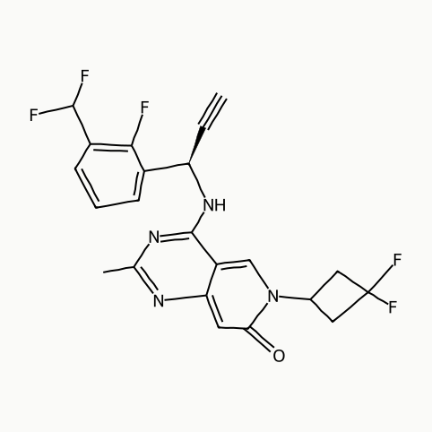 C#C[C@@H](Nc1nc(C)nc2cc(=O)n(C3CC(F)(F)C3)cc12)c1cccc(C(F)F)c1F